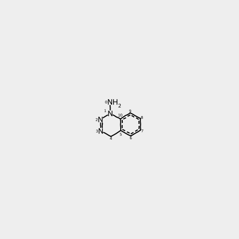 NN1N=NCc2ccccc21